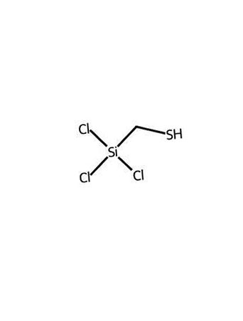 SC[Si](Cl)(Cl)Cl